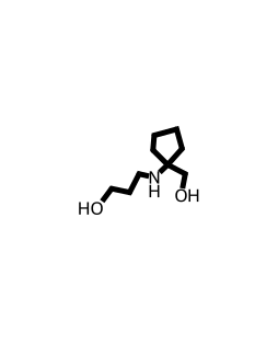 OCCCNC1(CO)CCCC1